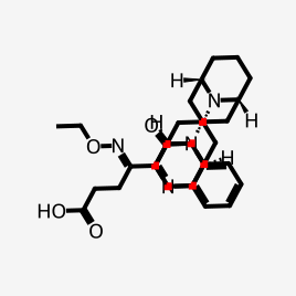 CCO/N=C(\CCC(=O)O)c1nc2ccccc2n([C@H]2C[C@H]3CCC[C@@H](C2)N3[C@H]2C[C@@H]3CCC[C@@H](C3)C2)c1=O